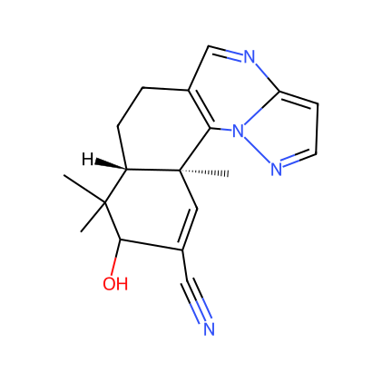 CC1(C)C(O)C(C#N)=C[C@]2(C)c3c(cnc4ccnn34)CC[C@@H]12